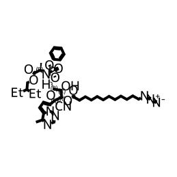 CCC(CC)COC(=O)[C@@H](C)NP(=O)(OC[C@H]1O[C@@](C#N)(c2ccc3c(C)ncnn23)[C@H](OC(=O)CCCCCCCCCCCN=[N+]=[N-])[C@@H]1O)Oc1ccccc1